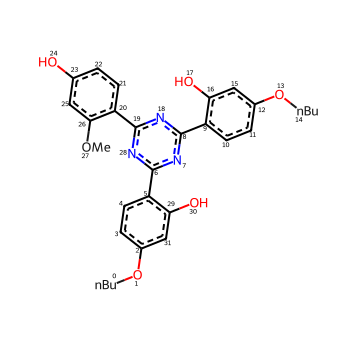 CCCCOc1ccc(-c2nc(-c3ccc(OCCCC)cc3O)nc(-c3ccc(O)cc3OC)n2)c(O)c1